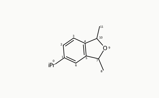 CC(C)c1ccc2c(c1)C(C)OC2C